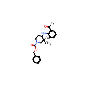 CCC(=O)c1ccccc1NC1CCN(C(=O)OCc2ccccc2)CC1(C)OC